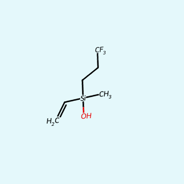 C=C[Si](C)(O)CCC(F)(F)F